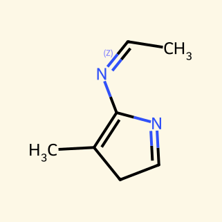 C/C=N\C1=C(C)CC=N1